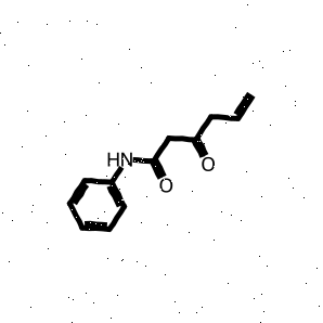 C=CCC(=O)CC(=O)Nc1ccccc1